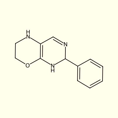 C1=NC(c2ccccc2)NC2=C1NCCO2